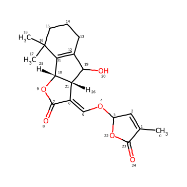 CC1=CC(O/C=C2/C(=O)O[C@@H]3C4=C(CCCC4(C)C)C(O)[C@H]23)OC1=O